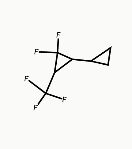 FC(F)(F)C1[C](C2CC2)C1(F)F